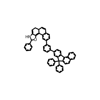 C1=CC2CC=C3NC(c4ccccc4)OC3=C2c2cc(-c3cccc(-c4ccc5c(c4)C(c4ccccc4)(c4ccccc4)c4ccc6ccccc6c4-5)c3)ccc21